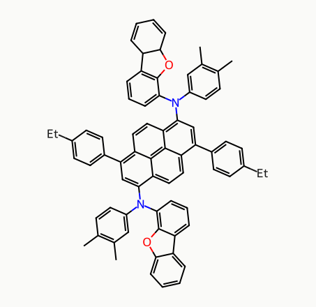 CCc1ccc(-c2cc(N(c3ccc(C)c(C)c3)c3cccc4c3OC3C=CC=CC43)c3ccc4c(-c5ccc(CC)cc5)cc(N(c5ccc(C)c(C)c5)c5cccc6c5oc5ccccc56)c5ccc2c3c45)cc1